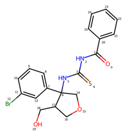 O=C(NC(=S)NC1(c2cccc(Br)c2)COCC1CO)c1ccccc1